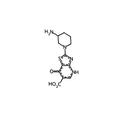 NC1CCCN(c2nc3[nH]cc(C(=O)O)c(=O)c3s2)C1